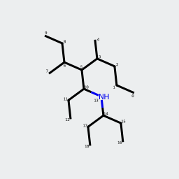 CCCC(C)C(C(C)CC)C(CC)NC(CC)CC